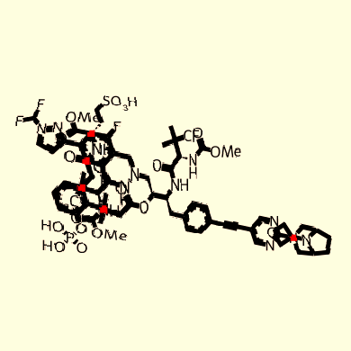 COC(=O)N[C@H](C(=O)N[C@@H](Cc1ccc(C#Cc2cnc(N3CC4CCC(C3)N4C3COC3)nc2)cc1)[C@H](CN(Cc1c(F)cc(-c2ccn(C(F)F)n2)cc1F)NC(=O)[C@@H](NC(=O)OC)C(C)(C)C(F)(F)F)OC(=O)CC(C)(C)c1c(CC(=O)N[C@@H](CCS(=O)(=O)O)C(=O)OC)cccc1OP(=O)(O)O)C(C)(C)C(F)(F)F